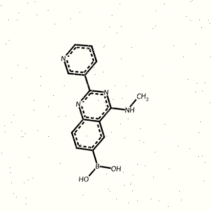 CNc1nc(-c2cccnc2)nc2ccc(B(O)O)cc12